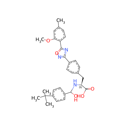 COc1cc(C)ccc1-c1nc(-c2ccc(C[C@H](NC(O)c3ccc(C(C)(C)C)cc3)C(=O)O)cc2)no1